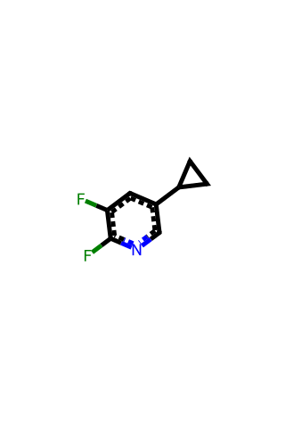 Fc1cc(C2CC2)cnc1F